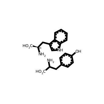 NC(Cc1ccc(O)cc1)C(=O)O.N[C@H](Cc1c[nH]c2ccccc12)C(=O)O